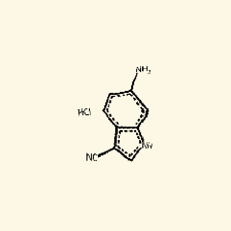 Cl.N#Cc1c[nH]c2cc(N)ccc12